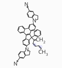 C=C(/C=C\C=C/C)C1(c2ccccc2)c2cc(N3CCc4cc(C#N)ccc43)ccc2-c2c1c1ccc(N3CCc4cc(C#N)ccc43)cc1c1ccccc21